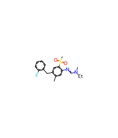 CCN(C)C=Nc1cc(C)c(Cc2ccccc2F)cc1S(C)(=O)=O